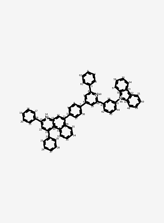 c1ccc(-c2cc(-c3ccc(-c4cc5nc(-c6ccccc6)cc(-c6ccccc6)c5c5ccccc45)cc3)cc(-c3cccc(-n4c5ccccc5c5ccccc54)c3)n2)cc1